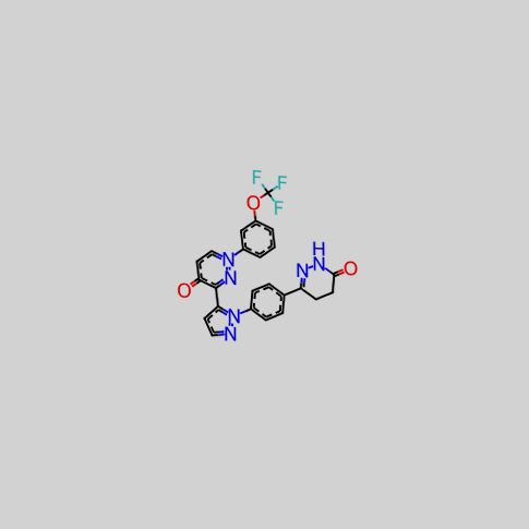 O=C1CCC(c2ccc(-n3nccc3-c3nn(-c4cccc(OC(F)(F)F)c4)ccc3=O)cc2)=NN1